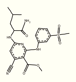 COC(=O)c1c(C#N)cc(NC(CC(C)C)C(N)=O)nc1Nc1cccc(S(C)(=O)=O)c1